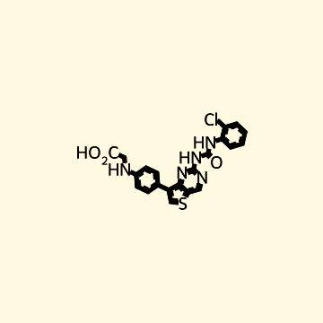 O=C(O)CNc1ccc(-c2csc3cnc(NC(=O)Nc4ccccc4Cl)nc23)cc1